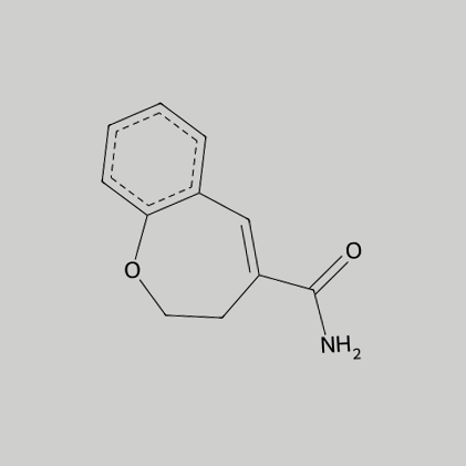 NC(=O)C1=Cc2ccccc2OCC1